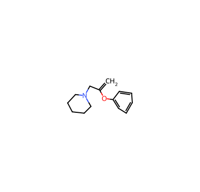 C=C(CN1CCCCC1)Oc1ccccc1